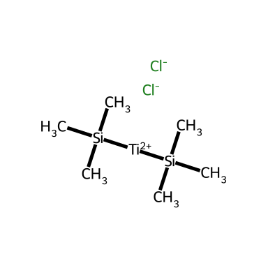 C[Si](C)(C)[Ti+2][Si](C)(C)C.[Cl-].[Cl-]